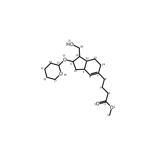 COC(=O)CCCC1=CC2CC(OC3CCCCO3)C(CO)C2CC1